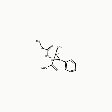 COC(=O)[C@]1(NC(=O)OC(C)(C)C)[C@H](c2ccccc2)[C@@H]1C